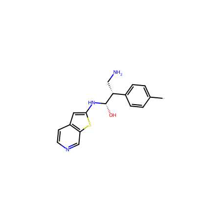 [CH2]c1ccc([C@@H](CN)[C@H](O)Nc2cc3ccncc3s2)cc1